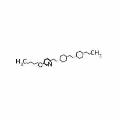 CCCCCOc1ccc(CC[C@H]2CC[C@H](CC[C@H]3CC[C@H](CCC)CC3)CC2)nc1